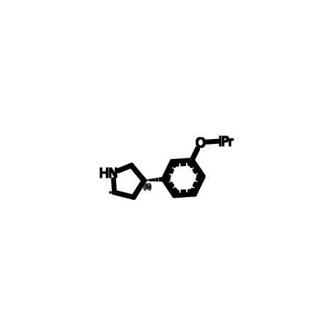 CC(C)Oc1cccc([C@@H]2C[CH]NC2)c1